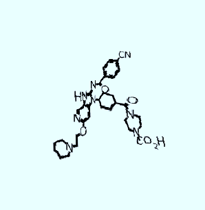 N#Cc1ccc(C(=O)/N=c2/[nH]c3cnc(OCCN4CCCCC4)cc3n2C2CCC(C(=O)N3CCN(C(=O)O)CC3)CC2)cc1